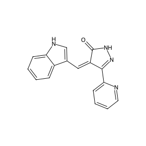 O=C1NN=C(c2ccccn2)/C1=C/c1c[nH]c2ccccc12